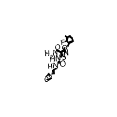 Cc1cccc(COc2nsc(NC(=O)NCCCN3CCOCC3)c2C(N)=O)c1F